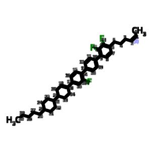 C/C=C\CCCc1ccc(-c2ccc(-c3ccc(C4=CCC(C5CCC(CCCCC)CC5)CC4)cc3F)cc2)c(F)c1F